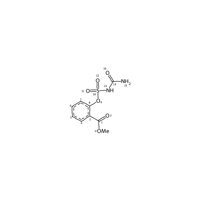 COC(=O)c1ccccc1OS(=O)(=O)NC(N)=O